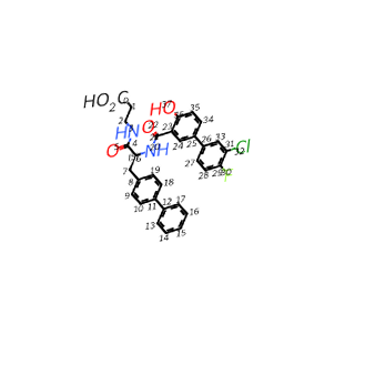 O=C(O)CCNC(=O)[C@H](Cc1ccc(-c2ccccc2)cc1)NC(=O)c1cc(-c2ccc(F)c(Cl)c2)ccc1O